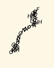 O=C1CCC(N2C(=O)c3ccc(N4CCN(CCOCCN5CCN(c6ccc(-c7cnc8[nH]cc(C(=O)c9c(F)ccc(NS(=O)(=O)N%10CC[C@@H](F)C%10)c9F)c8c7)cc6)CC5)CC4)cc3C2=O)C(=O)N1